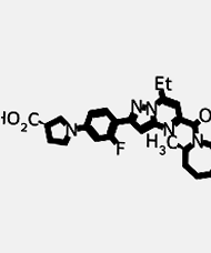 CCc1cc(C(O)N2CCCCC[C@H]2C)nc2cc(-c3ccc(N4CC[C@H](C(=O)O)C4)cc3F)nn12